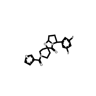 O=C(c1ccoc1)N1CCC2(CC1)OC1CCC(c3cc(F)cc(F)c3)N1C2=O